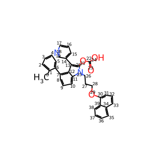 Cc1ccccc1-c1cccc2c1c(-c1cccnc1)c(OC(=O)O)n2CCCOc1cccc2ccccc12